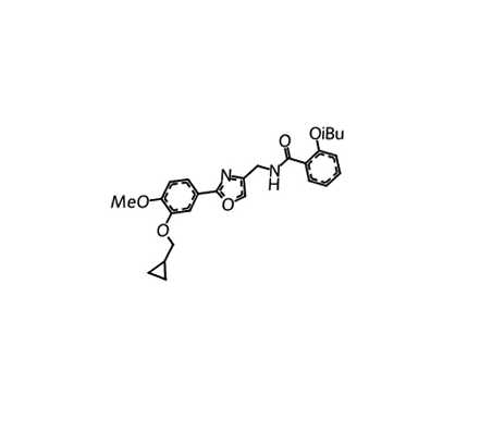 COc1ccc(-c2nc(CNC(=O)c3ccccc3OCC(C)C)co2)cc1OCC1CC1